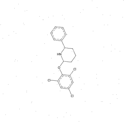 Clc1cc(Cl)c(OC2CCCC(c3[c]cccc3)N2)c(Cl)c1